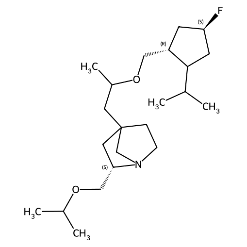 CC(C)OC[C@@H]1CC2(CC(C)OC[C@@H]3C[C@@H](F)CC3C(C)C)CCN1C2